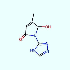 CC1=CC(=O)N(c2nnc[nH]2)C1O